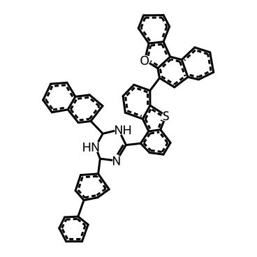 c1ccc(-c2ccc(C3N=C(c4cccc5sc6c(-c7cc8ccccc8c8c7oc7ccccc78)cccc6c45)NC(c4ccc5ccccc5c4)N3)cc2)cc1